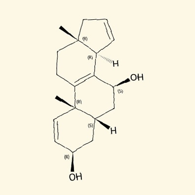 C[C@@]12CC=C[C@H]1C1=C(CC2)[C@@]2(C)C=C[C@H](O)C[C@H]2C[C@@H]1O